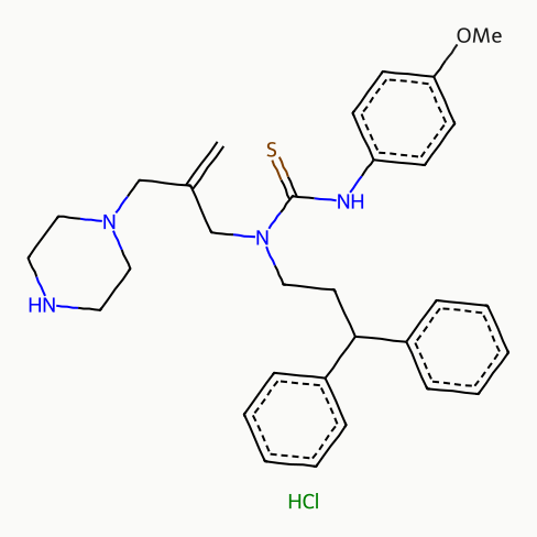 C=C(CN1CCNCC1)CN(CCC(c1ccccc1)c1ccccc1)C(=S)Nc1ccc(OC)cc1.Cl